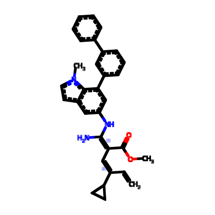 C=C/C(=C\C(C(=O)OC)=C(/N)Nc1cc(-c2cccc(-c3ccccc3)c2)c2c(ccn2C)c1)C1CC1